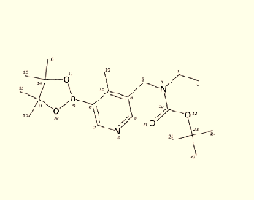 CCN(Cc1cncc(B2OC(C)(C)C(C)(C)O2)c1C)C(=O)OC(C)(C)C